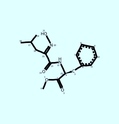 COC(=O)[C@H](Cc1ccccc1)NC(=O)C(CC(C)C)=NO